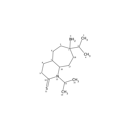 BC1(C(C)C)CCC2CCC(=S)N(C(C)C)C2CC1